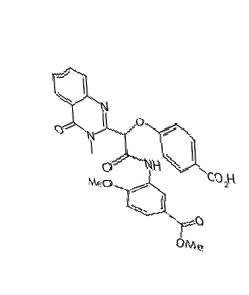 COC(=O)c1ccc(OC)c(NC(=O)C(Oc2ccc(C(=O)O)cc2)c2nc3ccccc3c(=O)n2C)c1